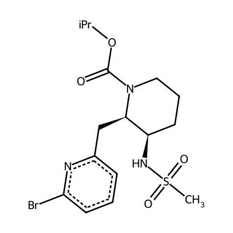 CC(C)OC(=O)N1CCC[C@@H](NS(C)(=O)=O)[C@H]1Cc1cccc(Br)n1